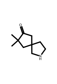 CC1(C)CC2(CCNC2)CC1=O